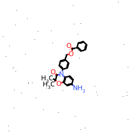 CC1(C)Oc2cc(N)ccc2N(c2ccc(COC(=O)c3ccccc3)cc2)C1=O